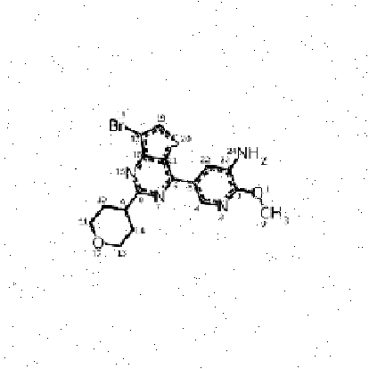 COc1ncc(-c2nc(C3CCOCC3)nc3c(Br)csc23)cc1N